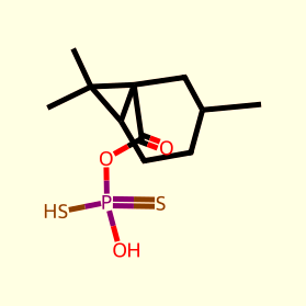 CC1CCC2C(C)(C)C2(C(=O)OP(O)(=S)S)C1